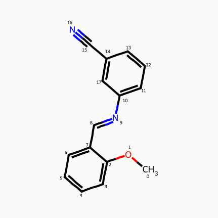 COc1ccccc1/C=N/c1cccc(C#N)c1